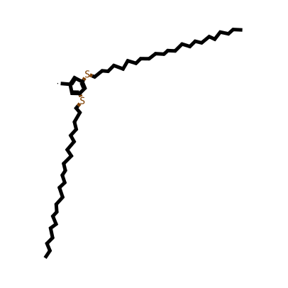 [CH2]c1cc(SCCCCCCCCCCCCCCCCCCCCCCC)cc(SCCCCCCCCCCCCCCCCCCCCCCC)c1